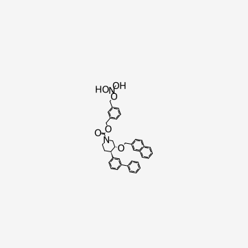 O=C(OCc1cccc(CON(O)O)c1)N1CC[C@H](c2cccc(-c3ccccc3)c2)[C@@H](OCc2ccc3ccccc3c2)C1